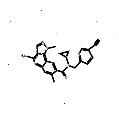 C#Cc1ccc(CN(C(=O)c2cc3c(cc2C)nc(N)c2cnn(C)c23)C2CC2)nc1